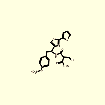 COC(=O)C(CC(C)C)C(=O)NC(Cc1ccc(NS(=O)(=O)O)cc1)c1csc(-c2cccs2)n1